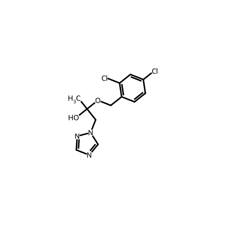 CC(O)(Cn1cncn1)OCc1ccc(Cl)cc1Cl